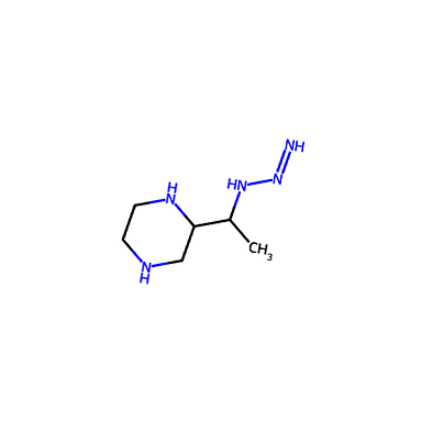 CC(NN=N)C1CNCCN1